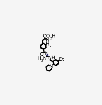 CCc1ccc(N2CCCCC2)c(CN/C(N)=N/C(=O)c2ccc(C[C@H](N)C(=O)O)cc2)c1